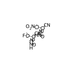 Cc1cc(-c2cc(C#N)cc3cc4n(c23)CCNC4=O)ccc1F.N#Cc1cc(-c2ccc([N+](=O)[O-])cc2)c2c(c1)cc1n2CCNC1=O